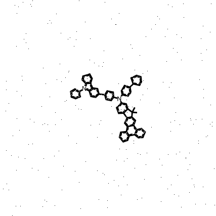 CC1(C)c2cc(N(c3ccc(-c4ccccc4)cc3)c3ccc(-c4ccc5c(c4)c4ccccc4n5-c4ccccc4)cc3)ccc2-c2cc3c4ccccc4c4ccccc4c3cc21